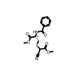 COC(=O)C(C#N)SC[C@@H](NC(=O)c1ccccc1)C(=O)OC